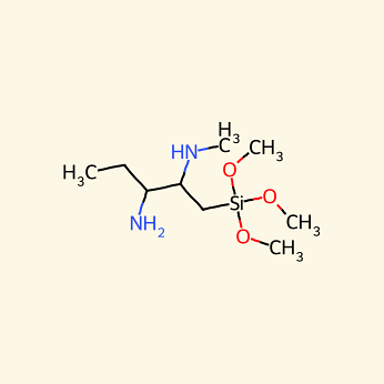 CCC(N)C(C[Si](OC)(OC)OC)NC